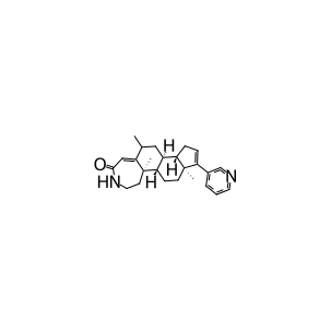 CC1C[C@@H]2[C@H](CC[C@]3(C)C(c4cccnc4)=CC[C@@H]23)[C@@]2(C)CCNC(=O)C=C12